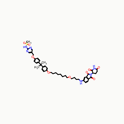 CC(C)(c1ccc(OCCCCCCCCOCCCCNc2ccc3c(c2)C(=O)N(C2CCC(=O)NC2=O)C3=O)cc1)c1ccc(OCc2cnc(NS(C)(=O)=O)nc2)cc1